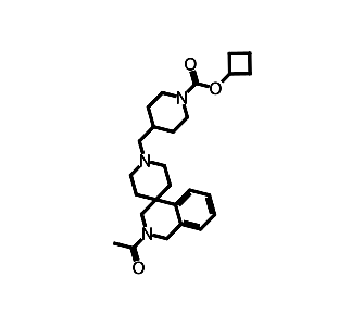 CC(=O)N1Cc2ccccc2C2(CCN(CC3CCN(C(=O)OC4CCC4)CC3)CC2)C1